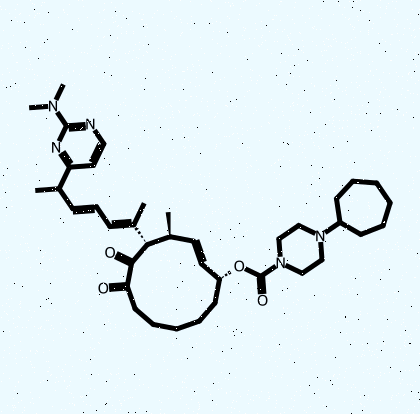 C/C(=C\C=C\C(C)c1ccnc(N(C)C)n1)[C@H]1C(=O)C(=O)CCCCC[C@@H](OC(=O)N2CCN(C3CCCCCC3)CC2)/C=C/[C@@H]1C